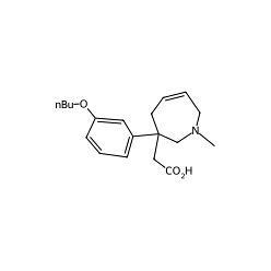 CCCCOc1cccc(C2(CC(=O)O)CC=CCN(C)C2)c1